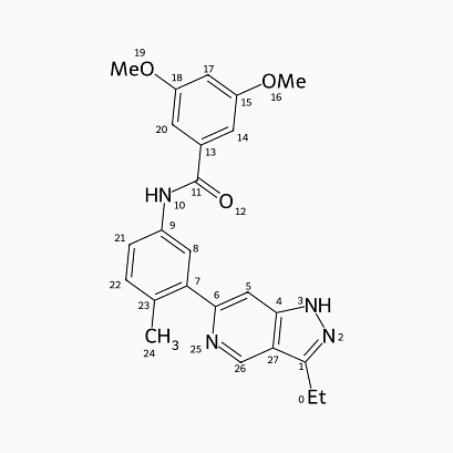 CCc1n[nH]c2cc(-c3cc(NC(=O)c4cc(OC)cc(OC)c4)ccc3C)ncc12